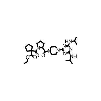 CCOC(=O)C1(C(=O)N2CCCC2C(=O)N2CCN(c3nc(NC(C)C)nc(NC(C)C)n3)CC2)CCCC1